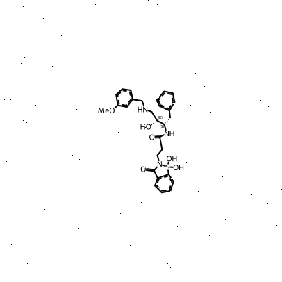 COc1cccc(CNC[C@@H](O)[C@H](Cc2ccccc2)NC(=O)CCN2C(=O)c3ccccc3S2(O)O)c1